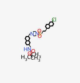 CC(C)(C)OC(=O)NCc1ccc2ccc(CN3CCN(S(=O)(=O)CC=Cc4ccc5cc(Cl)ccc5c4)CC3)cc2c1